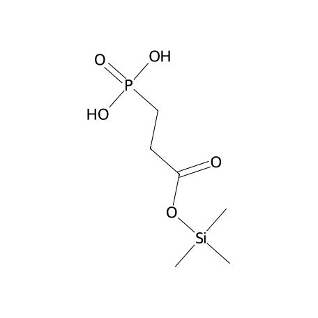 C[Si](C)(C)OC(=O)CCP(=O)(O)O